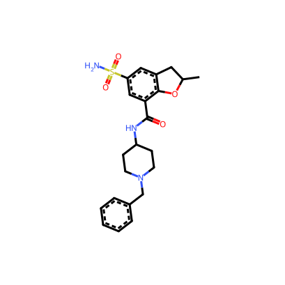 CC1Cc2cc(S(N)(=O)=O)cc(C(=O)NC3CCN(Cc4ccccc4)CC3)c2O1